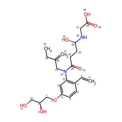 C=Cc1ccc(OC[C@@H](O)CO)cc1N(CC(=C)CC)C(=O)CCC(O)NCC(=O)O